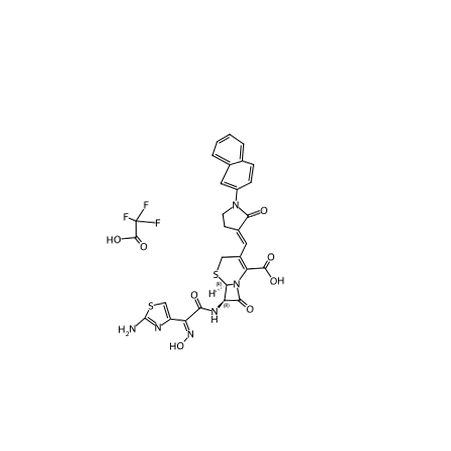 Nc1nc(C(=NO)C(=O)N[C@@H]2C(=O)N3C(C(=O)O)=C(C=C4CCN(c5ccc6ccccc6c5)C4=O)CS[C@H]23)cs1.O=C(O)C(F)(F)F